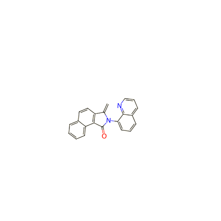 C=C1c2ccc3ccccc3c2C(=O)N1c1cccc2cccnc12